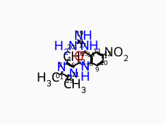 Cc1nc(C)c(CNc2ccc([N+](=O)[O-])cc2C(=O)NC(=N)N)nc1C